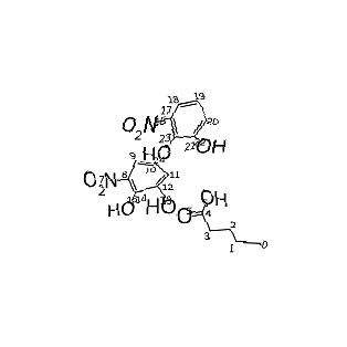 CCCCC(=O)O.O=[N+]([O-])c1cccc(O)c1O.O=[N+]([O-])c1cccc(O)c1O